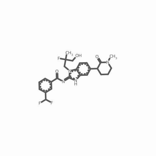 CN1CCCC(c2ccc3c(c2)[nH]c(=NC(=O)c2cccc(C(F)F)c2)n3CC(C)(F)CO)C1=O